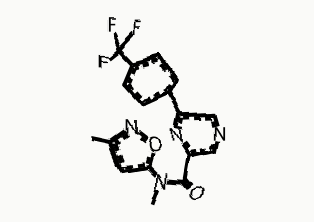 Cc1cc(N(C)C(=O)c2cncc(-c3ccc(C(F)(F)F)cc3)n2)on1